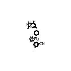 Cc1cc(C[C@H]2CC[C@H](C(=O)N3OCC[C@H]3c3cc(F)cc(C#N)c3)CC2)cn2c(C)nnc12